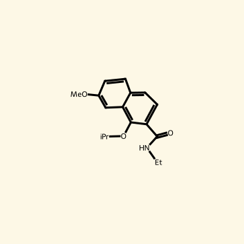 CCNC(=O)c1ccc2ccc(OC)cc2c1OC(C)C